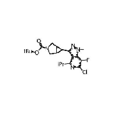 CC(C)c1nc(Cl)c(F)c2c1c(C1C3CN(C(=O)OC(C)(C)C)CC31)nn2C